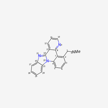 CNCc1cccc2c1c1ncccc1c1nc3ccccc3n21